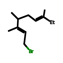 CCC(C)=CCC(C)C(C)=CCBr